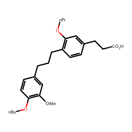 CCCCOc1ccc(CCCc2ccc(CCC(=O)O)cc2OCCC)cc1OC